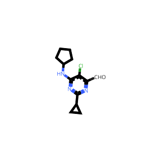 O=Cc1nc(C2CC2)nc(NC2CCCC2)c1Cl